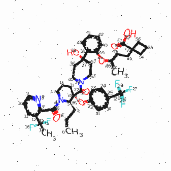 CCC[C@H]1N(C(=O)c2ncccc2C(C)(F)F)CCC[C@@]1(Oc1ccc(C(F)(F)F)cc1)C(=O)N1CCC(O)(c2ccccc2OC(C)CCC2(C(=O)O)CCC2)CC1